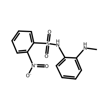 CNc1ccccc1NS(=O)(=O)c1ccccc1[N+](=O)[O-]